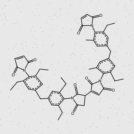 CCc1cc(Cc2cc(C)c(N3C(=O)C=C(C4CC(=O)N(c5c(CC)cc(Cc6cc(CC)c(N7C(=O)C=CC7=O)c(CC)c6)cc5CC)C4=O)C3=O)c(CC)c2)cc(C)c1N1C(=O)C=CC1=O